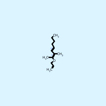 C=CCO/C(C)=C(C)/C=C/CCCC